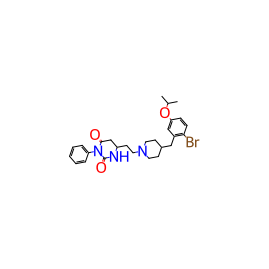 CC(C)Oc1ccc(Br)c(CC2CCN(CCC3CC(=O)N(c4ccccc4)C(=O)N3)CC2)c1